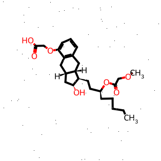 CCCCC[C@@H](CC[C@@H]1[C@H]2Cc3cccc(OCC(=O)O)c3C[C@H]2C[C@H]1O)OC(=O)COC